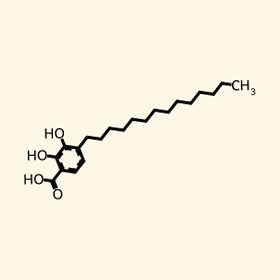 CCCCCCCCCCCCCCc1ccc(C(=O)O)c(O)c1O